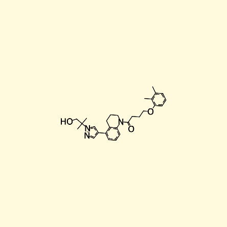 Cc1cccc(OCCCC(=O)N2CCCc3c(-c4cnn(C(C)(C)CO)c4)cccc32)c1C